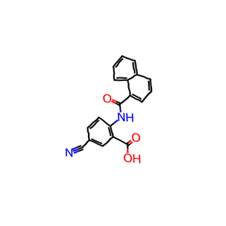 N#Cc1ccc(NC(=O)c2cccc3ccccc23)c(C(=O)O)c1